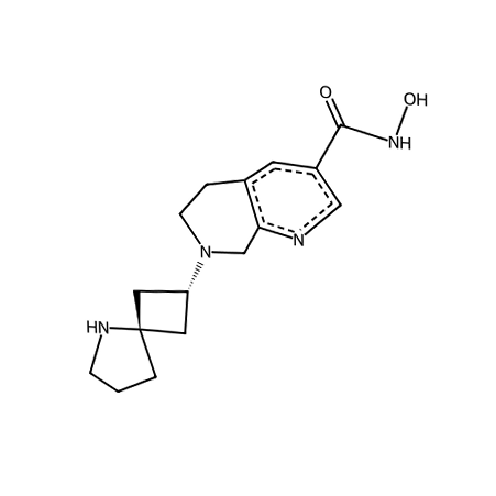 O=C(NO)c1cnc2c(c1)CCN([C@H]1C[C@]3(CCCN3)C1)C2